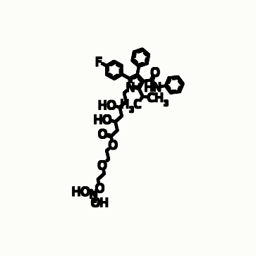 CC(C)c1c(C(=O)Nc2ccccc2)c(-c2ccccc2)c(-c2ccc(F)cc2)n1CCC(O)CC(O)CC(=O)OCCOCCON(O)O